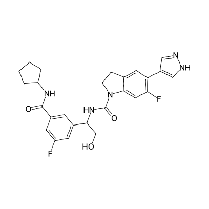 O=C(NC1CCCC1)c1cc(F)cc(C(CO)NC(=O)N2CCc3cc(-c4cn[nH]c4)c(F)cc32)c1